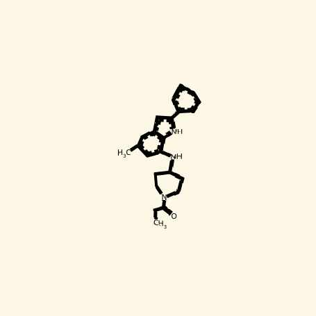 CCC(=O)N1CCC(Nc2cc(C)cc3cc(-c4ccccc4)[nH]c23)CC1